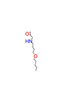 CCCCCOCCCCNCC1CO1